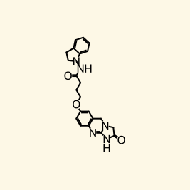 O=C1CN2Cc3cc(OCCCC(=O)NN4CCc5ccccc54)ccc3N=C2N1